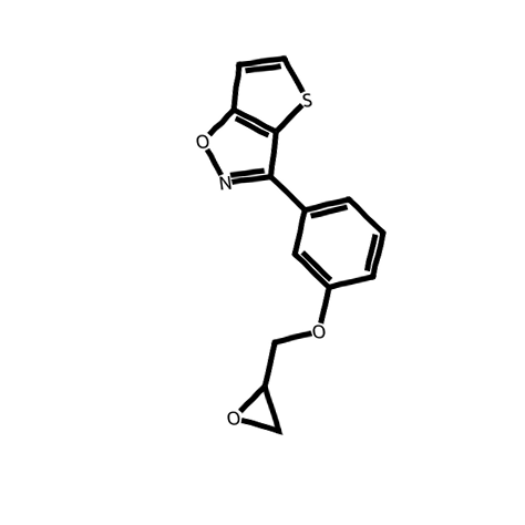 c1cc(OCC2CO2)cc(-c2noc3ccsc23)c1